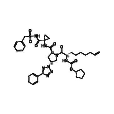 C=CCCCCC[C@H](NC(=O)OC1CCCC1)C(=O)N1C[C@H](n2nnc(-c3ccccc3)n2)C[C@H]1C(=O)NC1(C(=O)NS(=O)(=O)Cc2ccccc2)CC1